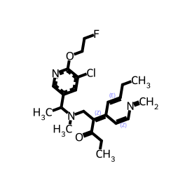 C=N\C=C/C(/C=C/CC)=C(/CN(C)C(C)c1cnc(OCCF)c(Cl)c1)C(=O)CC